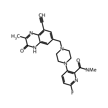 C#Cc1cc(CN2CCN(c3ccc(F)nc3C(=O)NC)CC2)cc2[nH]c(=O)c(C)nc12